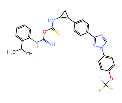 CC(C)c1ccccc1NC(=N)OC(=S)NC1CC1c1ccc(-c2ncn(-c3ccc(OC(F)(F)F)cc3)n2)cc1